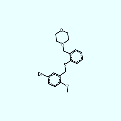 COc1ccc(Br)cc1CSc1ccccc1CN1CCOCC1